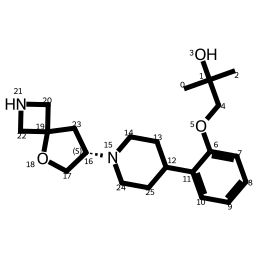 CC(C)(O)COc1ccccc1C1CCN([C@@H]2COC3(CNC3)C2)CC1